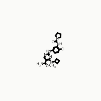 CN(c1nc(Nc2ccc(Cl)c(NC(=O)N3CCCC3)c2)ncc1C(N)=O)C1CCC1